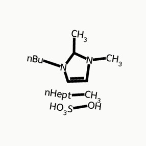 CCCCCCCC.CCCCN1C=CN(C)C1C.O=S(=O)(O)O